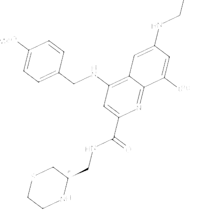 COc1ccc(CNc2cc(C(=O)NC[C@@H]3CSCCN3)nc3c(C(C)(C)C)cc(NCC(F)(F)F)cc23)cc1